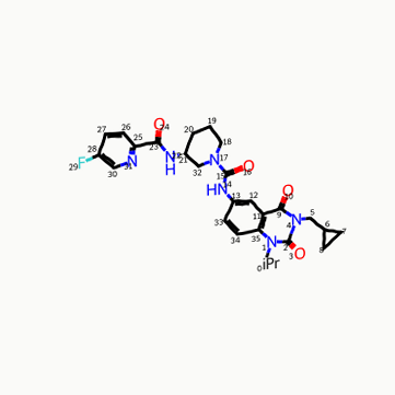 CC(C)n1c(=O)n(CC2CC2)c(=O)c2cc(NC(=O)N3CCC[C@@H](NC(=O)c4ccc(F)cn4)C3)ccc21